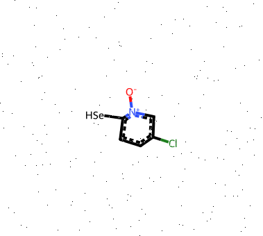 [O-][n+]1cc(Cl)ccc1[SeH]